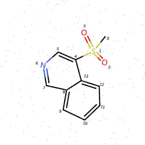 CS(=O)(=O)c1cncc2ccccc12